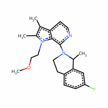 COCCn1c(C)c(C)c2ccnc(N3CCc4ccc(F)cc4C3C)c21